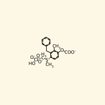 Cc1c(OC(=O)[O-])ccc([S+](C)C)c1Cc1ccccc1.[O-][Cl+3]([O-])([O-])O